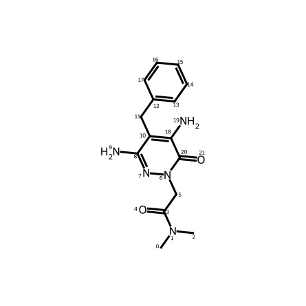 CN(C)C(=O)Cn1nc(N)c(Cc2ccccc2)c(N)c1=O